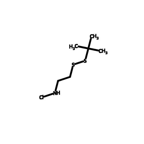 CC(C)(C)SSCCNCl